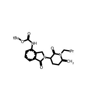 C=C1CCC(N2Cc3c(NC(=O)OC(C)(C)C)cccc3C2=O)C(=O)N1CC(C)C